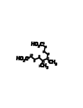 CC(CCCC(=O)O)C(C)CCCC(=O)O